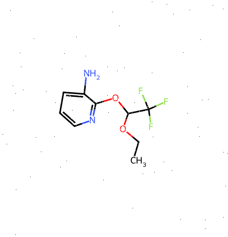 CCOC(Oc1ncccc1N)C(F)(F)F